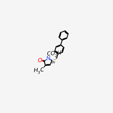 CC1=C[C@@H](Cc2ccc(-c3ccccc3)cc2)N(C(=O)O)C1=O